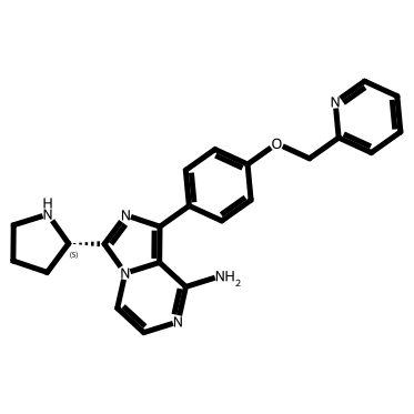 Nc1nccn2c([C@@H]3CCCN3)nc(-c3ccc(OCc4ccccn4)cc3)c12